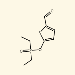 CCP(=O)(CC)Oc1ccc(C=O)s1